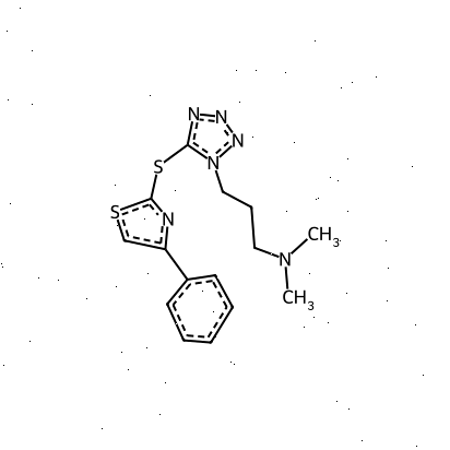 CN(C)CCCn1nnnc1Sc1nc(-c2ccccc2)cs1